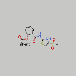 CCCCCC(=O)Oc1ccccc1C(=O)NC1NC(S(C)(=O)=O)=CS1